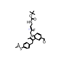 Cc1c(Cc2ccc(SN(C)C)cc2)c2cc(C=O)ccc2n1C/C(F)=C/CNC(=O)OC(C)(C)C